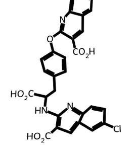 O=C(O)c1cc2cc(Cl)ccc2nc1NC(Cc1ccc(Oc2nc3ccccc3cc2C(=O)O)cc1)C(=O)O